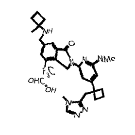 CNc1cc(C2(Cc3nncn3C)CCC2)cc(N2Cc3c(cc(CNC4(C)CCC4)cc3C(F)(F)F)C2=O)n1.O=CO